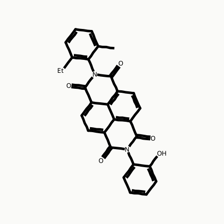 CCc1cccc(C)c1N1C(=O)c2ccc3c4c(ccc(c24)C1=O)C(=O)N(c1ccccc1O)C3=O